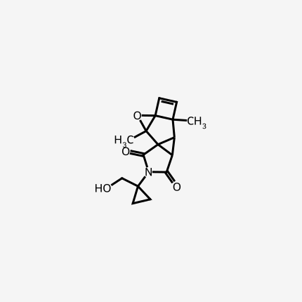 CC12C=CC13OC3(C)C13C(=O)N(C4(CO)CC4)C(=O)C1C23